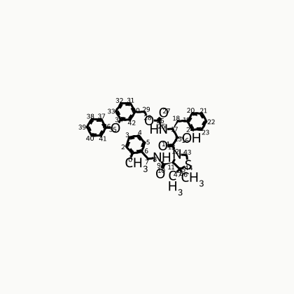 Cc1ccccc1CNC(=O)[C@H]1N(C(=O)[C@@H](O)[C@H](Cc2ccccc2)NC(=O)OCc2cccc(Oc3ccccc3)c2)CSC1(C)C